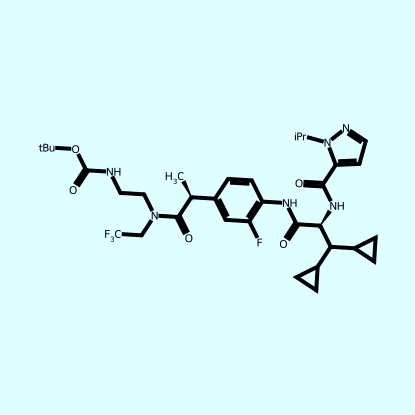 CC(C)n1nccc1C(=O)N[C@H](C(=O)Nc1ccc([C@H](C)C(=O)N(CCNC(=O)OC(C)(C)C)CC(F)(F)F)cc1F)C(C1CC1)C1CC1